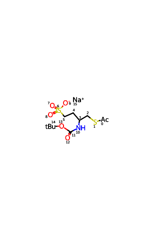 CC(=O)SCC(CCS(=O)(=O)[O-])NC(=O)OC(C)(C)C.[Na+]